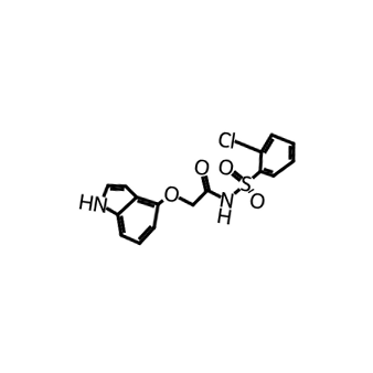 O=C(COc1cccc2[nH]ccc12)NS(=O)(=O)c1ccccc1Cl